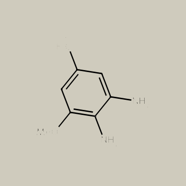 COc1cc(C(F)(F)F)cc(N)c1N